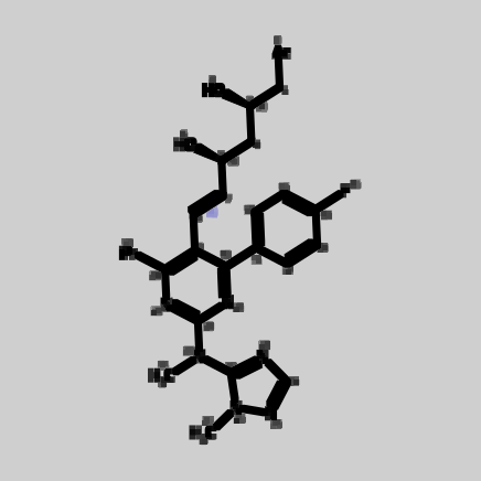 CC(=O)C[C@H](O)C[C@H](O)/C=C/c1c(-c2ccc(F)cc2)nc(N(C)c2ncnn2C)nc1C(C)C